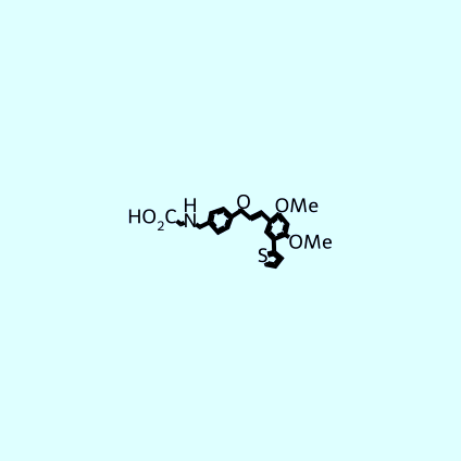 COc1cc(OC)c(-c2cccs2)cc1/C=C/C(=O)c1ccc(CNCC(=O)O)cc1